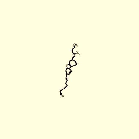 C#C/C=C\C=C/C/C=C/c1ccc2c3c(sc2c1)C=C(/C=C/C(=C)/C=C\C=C)C=CC3